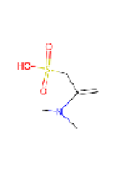 C=C(CS(=O)(=O)O)N(C)C